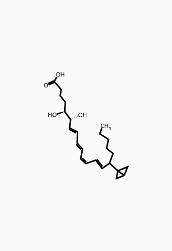 CCCCCC(/C=C/C=C\C=C\C=C\[C@@H](O)[C@@H](O)CCCC(=O)O)C12CC1C2